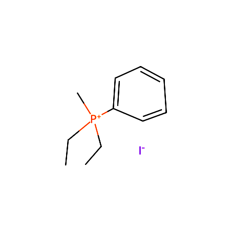 CC[P+](C)(CC)c1ccccc1.[I-]